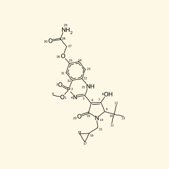 COP1(=O)N=C(C2=C(O)C(C(C)(C)C)N(CC3CC3)C2=O)Nc2ccc(OCC(N)=O)cc21